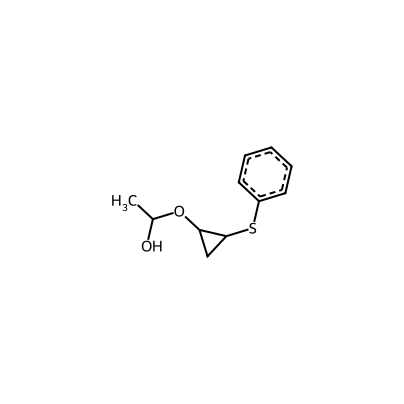 CC(O)OC1CC1Sc1ccccc1